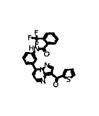 O=C(Nc1cccc(-c2ccnc3c(C(=O)c4cccs4)cnn23)c1)c1ccccc1C(F)(F)F